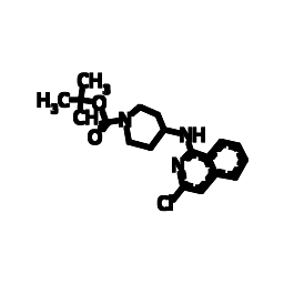 CC(C)(C)OC(=O)N1CCC(Nc2nc(Cl)cc3ccccc23)CC1